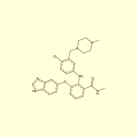 CNC(=O)c1cccc(Oc2ccc3[nH]cnc3c2)c1Nc1ccc(Cl)c(CN2CCN(C)CC2)c1